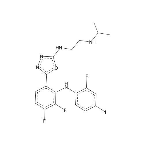 CC(C)NCCNc1nnc(-c2ccc(F)c(F)c2Nc2ccc(I)cc2F)o1